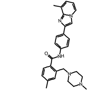 Cc1ccc(C(=O)Nc2ccc(-c3cn4cccc(C)c4n3)cc2)c(CN2CCN(C)CC2)c1